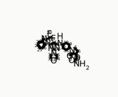 NC(=O)OC1CCN(C2CCC(Nc3cc(-n4c(C(F)F)nc5ccccc54)nc(N4CCOCC4)n3)CC2)C1=O